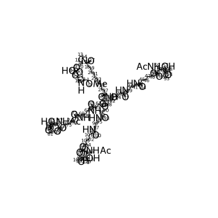 COCC1CC(OP(=O)(O)OCC2CCCN2C(=O)CCCCCCCCCCC(=O)NC(COCCC(=O)NCCCNC(=O)CCCCO[C@@H]2OC3CO[C@@H]3C(O)[C@@H]2NC(C)=O)(COCCC(=O)NCCCNC(=O)CCCCO[C@@H]2OC3CO[C@@H]3C(O)[C@@H]2NC(C)=O)COCCC(=O)NCCCNC(=O)CCCCO[C@@H]2OC3CO[C@@H]3C(O)[C@@H]2NC(C)=O)CN1